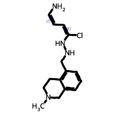 CN1CCc2c(CNN/C(Cl)=C\C=C/N)cccc2C1